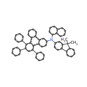 CC1(C)c2ccccc2-c2ccc(N(c3ccc4c(c3)c3ccccc3c3c(-c5ccccc5)c(-c5ccccc5)cc(-c5ccccc5)c43)c3cccc4ccccc34)cc21